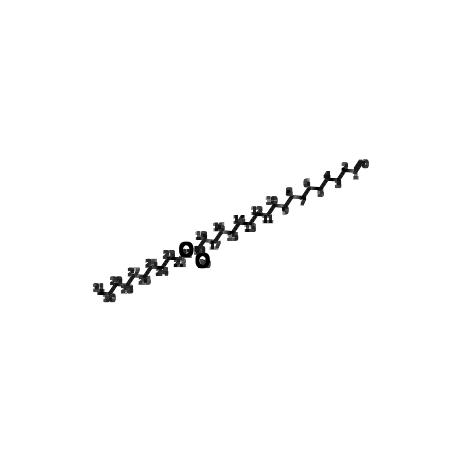 C=CCCCCCCCCCCCCCCCCCC(=O)OCCCCCCCCCC